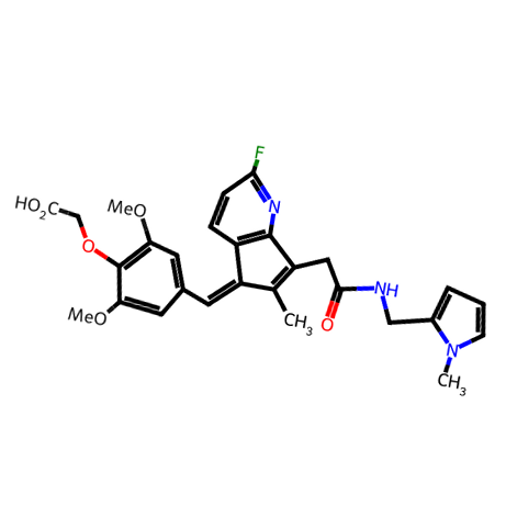 COc1cc(/C=C2/C(C)=C(CC(=O)NCc3cccn3C)c3nc(F)ccc32)cc(OC)c1OCC(=O)O